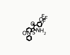 Nc1sc2c(ccc(=O)n2-c2ccccc2)c1C(=O)c1cccc(OC(F)(F)F)c1